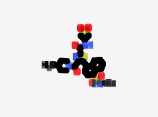 CC1CCN(C(=O)c2nc(C(=O)NC3CS(=O)(=O)C3)sc2-c2ccc(S(=O)(=O)NC(C)(C)C)c3ccccc23)CC1